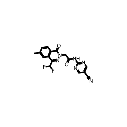 Cc1ccc2c(=O)n(CC(=O)Nc3ncc(C#N)cn3)nc(C(F)F)c2c1